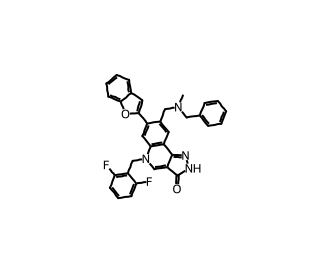 CN(Cc1ccccc1)Cc1cc2c3n[nH]c(=O)c-3cn(Cc3c(F)cccc3F)c2cc1-c1cc2ccccc2o1